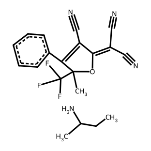 CC1(C(F)(F)F)OC(=C(C#N)C#N)C(C#N)=C1c1ccccc1.CCC(C)N